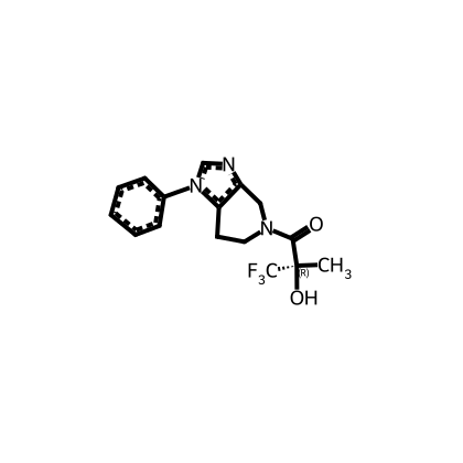 C[C@@](O)(C(=O)N1CCc2c(ncn2-c2ccccc2)C1)C(F)(F)F